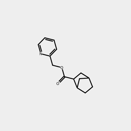 O=C(OCc1ccccn1)C1CC2CCC1C2